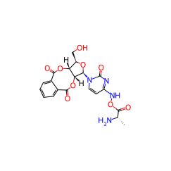 C[C@H](N)C(=O)ONc1ccn([C@@H]2O[C@H](CO)[C@H]3OC(=O)c4ccccc4C(=O)O[C@H]32)c(=O)n1